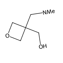 CNCC1(CO)COC1